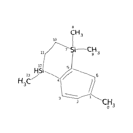 Cc1ccc2c(c1)[Si](C)(C)CC[SiH]2C